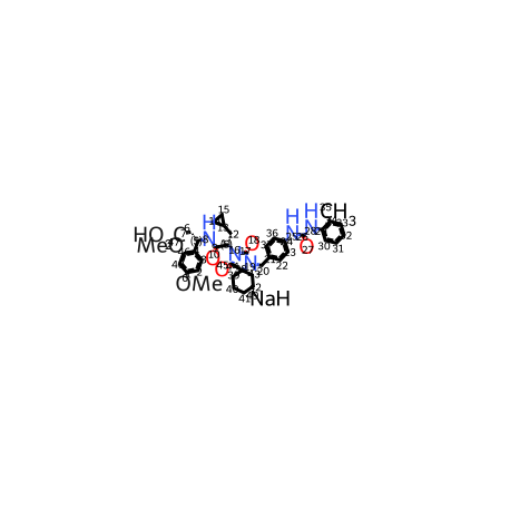 COc1ccc([C@H](CC(=O)O)NC(=O)[C@H](CC2CC2)N2C(=O)N(Cc3ccc(NC(=O)Nc4ccccc4C)cc3)C3(CCCCC3)C2=O)c(OC)c1.[NaH]